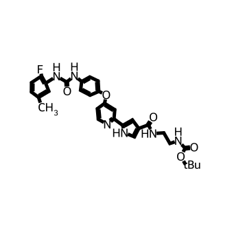 Cc1ccc(F)c(NC(=O)Nc2ccc(Oc3ccnc(-c4cc(C(=O)NCCNC(=O)OC(C)(C)C)c[nH]4)c3)cc2)c1